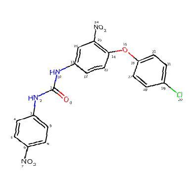 O=C(Nc1ccc([N+](=O)[O-])cc1)Nc1ccc(Oc2ccc(Cl)cc2)c([N+](=O)[O-])c1